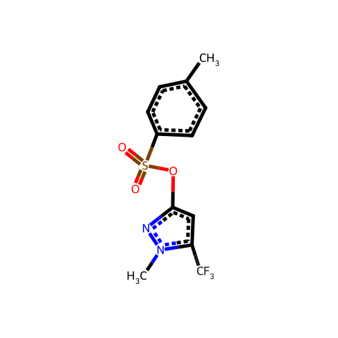 Cc1ccc(S(=O)(=O)Oc2cc(C(F)(F)F)n(C)n2)cc1